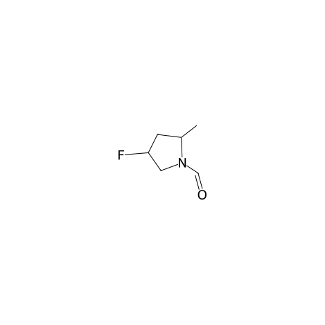 CC1CC(F)CN1C=O